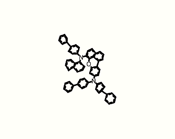 c1ccc(-c2ccc(N(c3ccc(-c4ccccc4)cc3)c3ccc4c(c3)Oc3c(N(c5ccc(-c6ccccc6)cc5)c5cccc6ccccc56)ccc5cccc-4c35)cc2)cc1